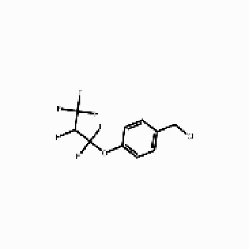 FC(C(F)(F)F)C(F)(F)Oc1ccc(CCl)cc1